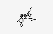 CCCC[S@+]([O-])N[C@@H](CCO)c1cc(=O)n(C)cc1Br